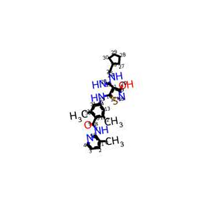 Cc1cccnc1NC(=O)c1c(C)cc(Nc2snc(O)c2C(=N)NCC2CCCC2)cc1C